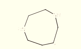 [CH]1CNCCCCN1